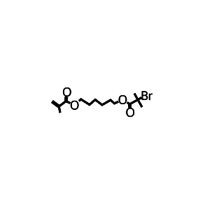 C=C(C)C(=O)OCCCCCCOC(=O)C(C)(C)Br